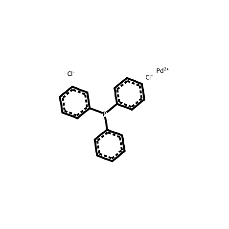 [Cl-].[Cl-].[Pd+2].c1ccc(P(c2ccccc2)c2ccccc2)cc1